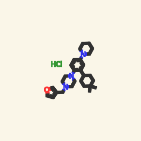 CC1(C)CCC(c2cc(N3CCCCC3)ccc2N2CCN(Cc3ccoc3)CC2)CC1.Cl